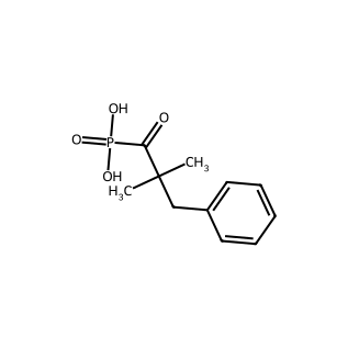 CC(C)(Cc1ccccc1)C(=O)P(=O)(O)O